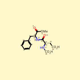 COC(=O)[C@H](Cc1ccccc1)NC(=O)[C@H](CC(=O)O)NC(=O)O